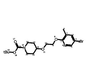 Cc1cc(Br)cnc1OCCOC1CCN(C(=O)OC(C)(C)C)CC1